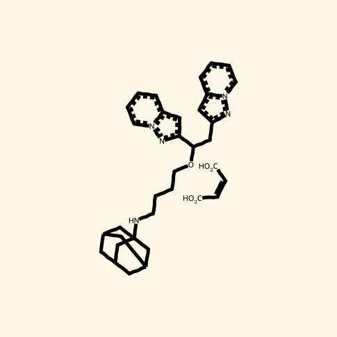 O=C(O)/C=C\C(=O)O.c1ccn2nc(CC(OCCCCNC34CC5CC(CC(C5)C3)C4)c3cc4ccccn4n3)cc2c1